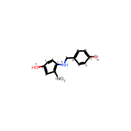 O=[N+]([O-])c1cc(O)ccc1NCc1ccc(Br)cc1